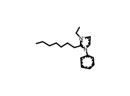 CCCCCCCc1n(-c2ccccc2)cc[n+]1CC